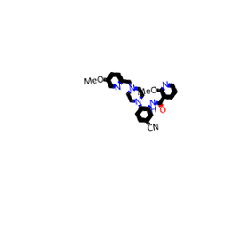 COc1ccc(CN2CCN(c3ccc(C#N)cc3NC(=O)c3cccnc3OC)CC2)nc1